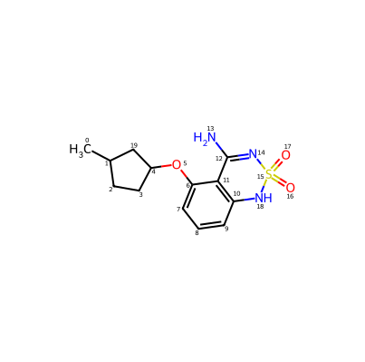 CC1CCC(Oc2cccc3c2C(N)=NS(=O)(=O)N3)C1